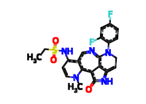 CCS(=O)(=O)NC1=c2cnc3c4c([nH]c(=O)c-4c2N(C)C=C1)=CCN3c1ccc(F)cc1F